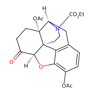 CCOC(=O)N1CC[C@]23c4c5ccc(OC(C)=O)c4O[C@H]2C(=O)CC[C@@]3(OC(C)=O)[C@H]1C5